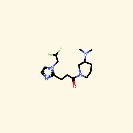 CN(C)C1CCCN(C(=O)CCc2nccn2CC(F)F)C1